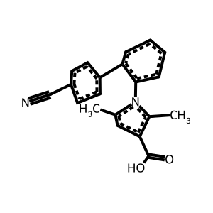 Cc1cc(C(=O)O)c(C)n1-c1ccccc1-c1ccc(C#N)cc1